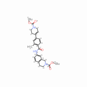 Cc1cc(C2=CCN(C(=O)OC(C)(C)C)CC2)ccc1C(=O)Nc1ccc2c(c1)CN(C(=O)OC(C)(C)C)CC2